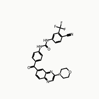 N#Cc1ccc(NC(=O)Nc2ccc(C(=O)c3ccc4ncc(N5CCOCC5)nc4c3)cc2)cc1C(F)(F)F